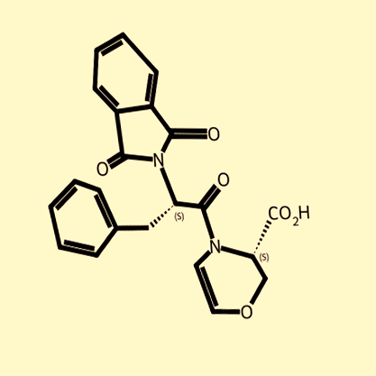 O=C(O)[C@@H]1COC=CN1C(=O)[C@H](Cc1ccccc1)N1C(=O)c2ccccc2C1=O